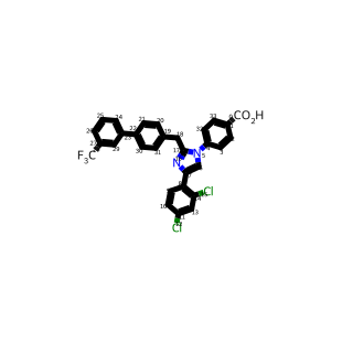 O=C(O)c1ccc(-n2cc(-c3ccc(Cl)cc3Cl)nc2Cc2ccc(-c3cccc(C(F)(F)F)c3)cc2)cc1